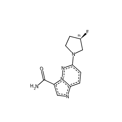 NC(=O)c1cnc2ccc(N3CC[C@@H](F)C3)nn12